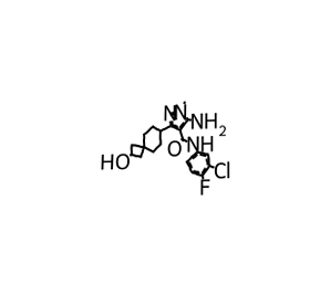 Cn1nc(C2CCC3(CC2)CC(O)C3)c(C(=O)Nc2ccc(F)c(Cl)c2)c1N